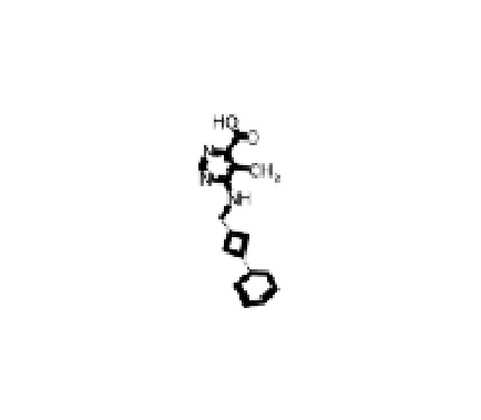 Cc1c(NC[C@H]2C[C@@H](C3C=CC=CC3)C2)ncnc1C(=O)O